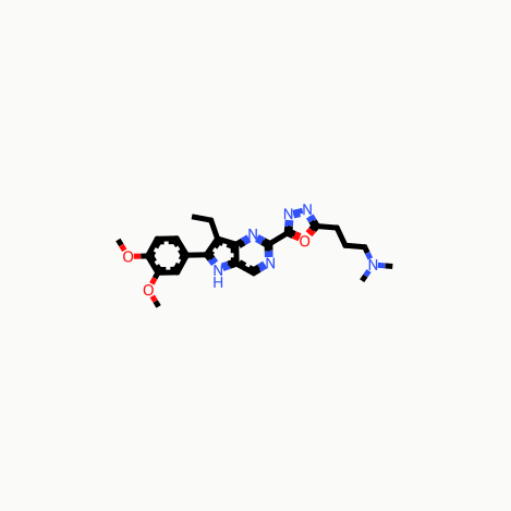 CCc1c(-c2ccc(OC)c(OC)c2)[nH]c2cnc(-c3nnc(CCCN(C)C)o3)nc12